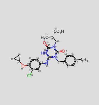 Cc1ccc(Cn2c(=O)n(C[C@H](C)C(=O)O)c(=O)[nH]/c2=N\c2ccc(OC3CC3)c(Cl)c2)cc1